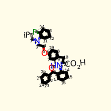 CC(C)CN(CCOc1ccc(CC(Nc2ccccc2C(=O)c2ccccc2)C(=O)O)cc1)c1ccccc1F